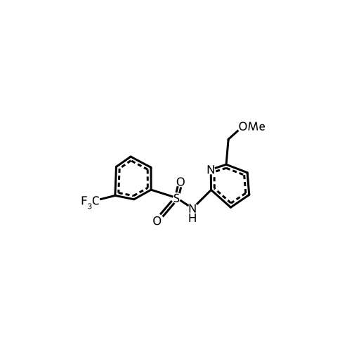 COCc1cccc(NS(=O)(=O)c2cccc(C(F)(F)F)c2)n1